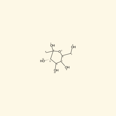 CC1(O)OC(CO)C(O)C(O)[C@@H]1O